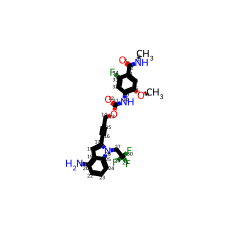 CNC(=O)c1cc(OC)c(NC(=O)OCC#Cc2cc3c(N)cccc3n2CC(F)(F)F)cc1F